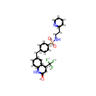 O=c1cc(C(F)(F)F)c2cc(Cc3ccc(S(=O)(=O)NCCc4ccccn4)cc3)ccc2[nH]1